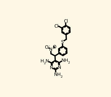 Nc1nc(N)c(C(C[N+](=O)[O-])c2cccc(SCc3ccc(Cl)c(Cl)c3)c2)c(N)n1